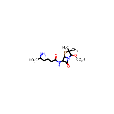 CC1(C)SC2C(NC(=O)CCCC(N)C(=O)O)C(=O)N2C1OC(=O)O